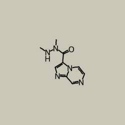 CNN(C)C(=O)c1cnc2cnccn12